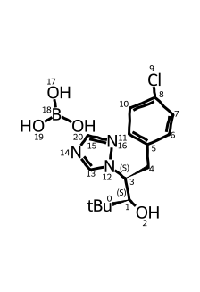 CC(C)(C)[C@H](O)[C@H](Cc1ccc(Cl)cc1)n1cncn1.OB(O)O